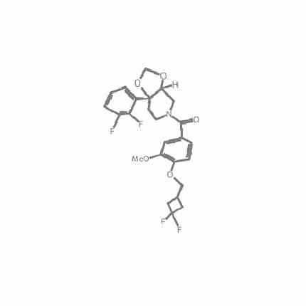 COc1cc(C(=O)N2CC[C@]3(c4cccc(F)c4F)OCO[C@@H]3C2)ccc1OCC1CC(F)(F)C1